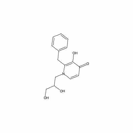 O=c1ccn(CC(O)CO)c(Cc2ccccc2)c1O